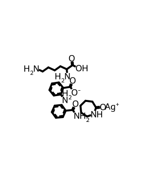 NC(=O)c1ccccc1.NCCCCC(N)C(=O)O.Nc1ccccc1C(=O)[O-].O=C1CCCCCN1.[Ag+]